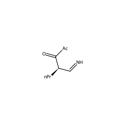 CCC[C@H](C=N)C(=O)C(C)=O